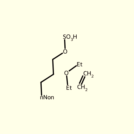 C=C.CCCCCCCCCCCCOS(=O)(=O)O.CCOCC